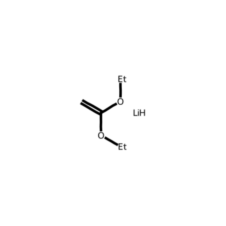 C=C(OCC)OCC.[LiH]